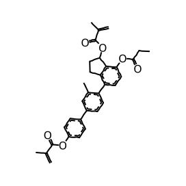 C=C(C)C(=O)Oc1ccc(-c2ccc(-c3ccc(OC(=O)CC)c4c3CCC4OC(=O)C(=C)C)c(C)c2)cc1